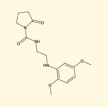 COc1ccc(OC)c(NCCNC(=O)N2CCCC2=O)c1